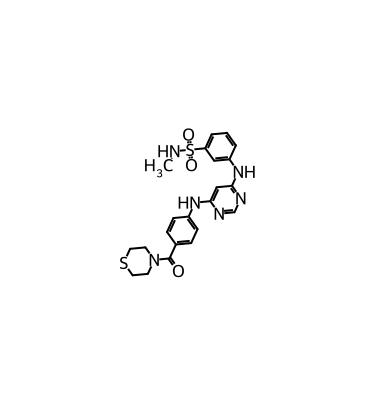 CNS(=O)(=O)c1cccc(Nc2cc(Nc3ccc(C(=O)N4CCSCC4)cc3)ncn2)c1